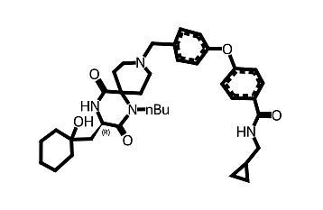 CCCCN1C(=O)[C@@H](CC2(O)CCCCC2)NC(=O)C12CCN(Cc1ccc(Oc3ccc(C(=O)NCC4CC4)cc3)cc1)CC2